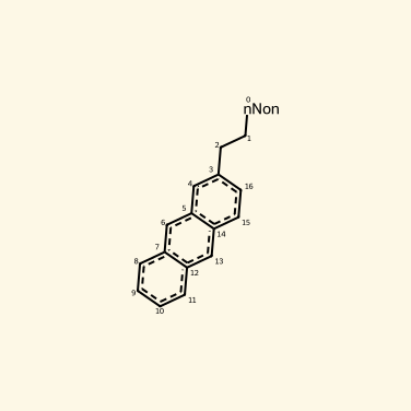 CCCCCCCCCCCc1[c]c2cc3ccccc3cc2cc1